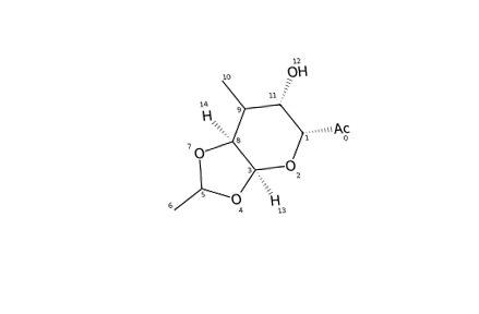 CC(=O)[C@@H]1O[C@H]2OC(C)O[C@H]2C(C)[C@@H]1O